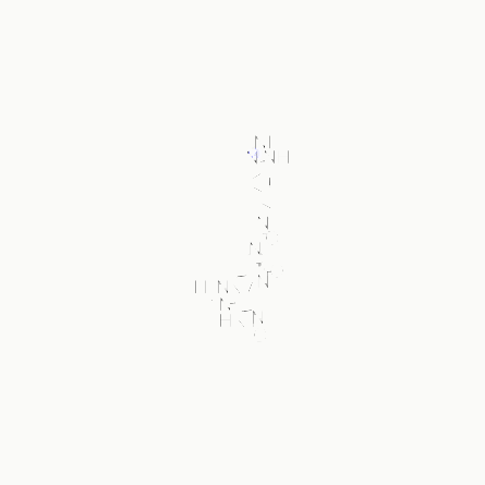 CCN(C(=O)[C@@H]1CCN(CC(=O)N2CC=C(c3ccc(C(=N)/N=C\NC)cc3)CC2)C1)c1ccc(N)c(C(=N)c2ccc(OC(C)C)nc2)c1